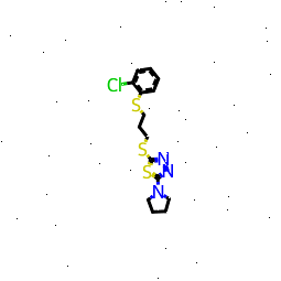 Clc1ccccc1SCCCSc1nnc(N2CCCC2)s1